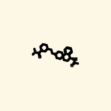 CC(=O)NC1CCC2(CCN(CCC3CCCN(C(=O)N(C)C)C3)CC2)c2ccccc21